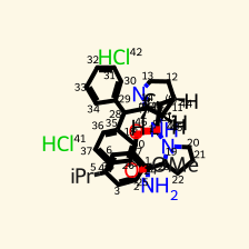 COc1ccc(C(C)C)cc1CN[C@H]1[C@H]2CCN(C[C@@H]2C(=O)N2CCCC2C(N)=O)[C@H]1C(c1ccccc1)c1ccccc1.Cl.Cl